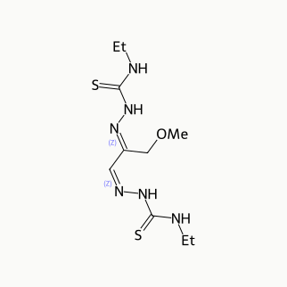 CCNC(=S)N/N=C\C(COC)=N\NC(=S)NCC